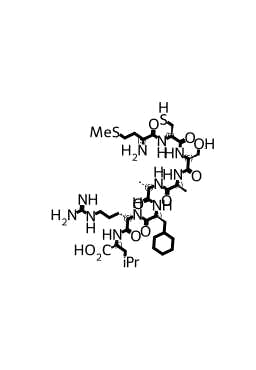 CSCC[C@H](N)C(=O)N[C@@H](CS)C(=O)N[C@@H](CO)C(=O)N[C@@H](C)C(=O)N[C@@H](C)C(=O)N[C@@H](CC1CCCCC1)C(=O)N[C@@H](CCCNC(=N)N)C(=O)N[C@@H](CC(C)C)C(=O)O